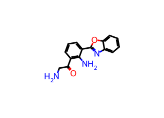 NCC(=O)c1cccc(-c2nc3ccccc3o2)c1N